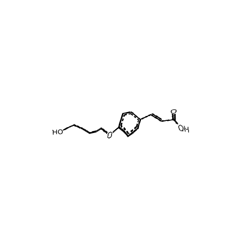 O=C(O)C=Cc1ccc(OCCCO)cc1